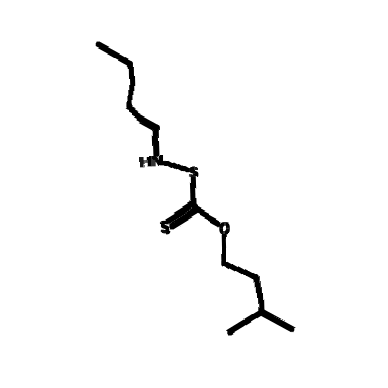 CCCCNSC(=S)OCCC(C)C